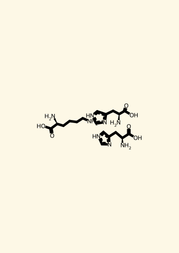 NCCCC[C@H](N)C(=O)O.N[C@@H](Cc1c[nH]cn1)C(=O)O.N[C@@H](Cc1c[nH]cn1)C(=O)O